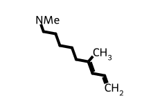 C=C/C=C(\C)CCCCCNC